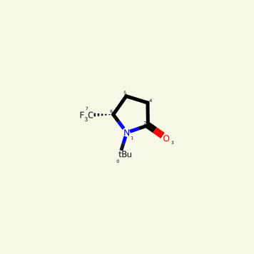 CC(C)(C)N1C(=O)CC[C@H]1C(F)(F)F